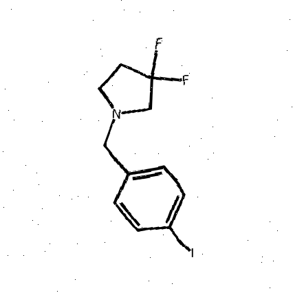 FC1(F)CCN(Cc2ccc(I)cc2)C1